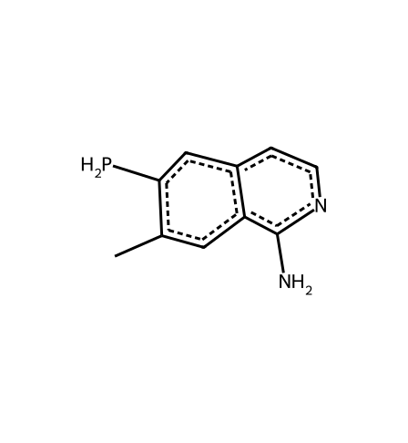 Cc1cc2c(N)nccc2cc1P